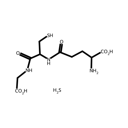 NC(CCC(=O)NC(CS)C(=O)NCC(=O)O)C(=O)O.S